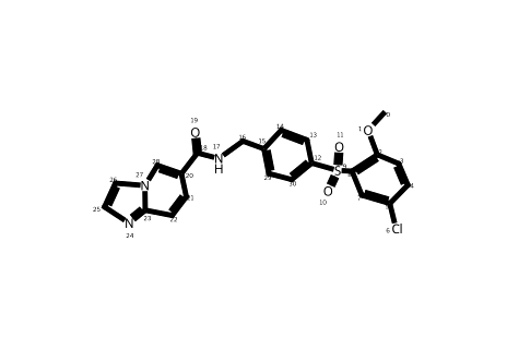 COc1ccc(Cl)cc1S(=O)(=O)c1ccc(CNC(=O)c2ccc3nccn3c2)cc1